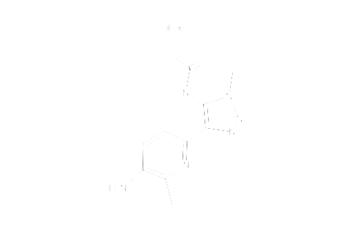 CCC[C@@H](C)OC(=O)Nc1c(-c2ccc(N)c(C)n2)nnn1C